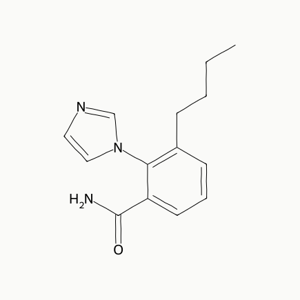 CCCCc1cccc(C(N)=O)c1-n1ccnc1